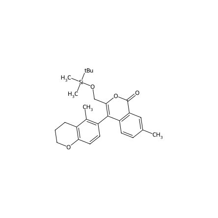 Cc1ccc2c(-c3ccc4c(c3C)CCCO4)c(CO[Si](C)(C)C(C)(C)C)oc(=O)c2c1